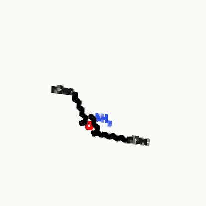 C=C(CCCCCCCCCCCCCCCCC)CC(OC(=C)CCCCCCCCCCCCCCCCC)C(=C)N